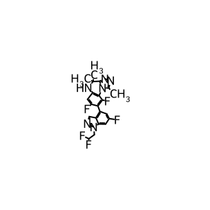 Cc1nnc2n1-c1c(cc(F)c(-c3cc(F)cc4c3cnn4CC(F)F)c1F)NC2(C)C